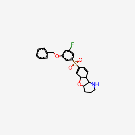 O=S(=O)(C1=CC2OC3CCCNC3C2C=C1)c1cc(F)cc(OCc2ccccc2)c1